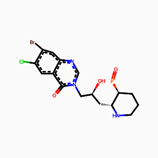 O=P[C@H]1CCCN[C@@H]1C[C@H](O)Cn1cnc2cc(Br)c(Cl)cc2c1=O